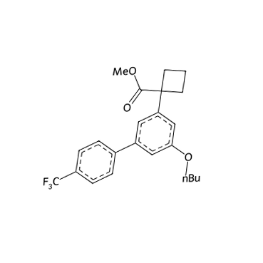 CCCCOc1cc(-c2ccc(C(F)(F)F)cc2)cc(C2(C(=O)OC)CCC2)c1